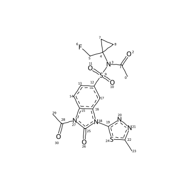 CC(=O)N(C1(CF)CC1)S(=O)(=O)c1ccc2c(c1)n(-c1nnc(C)s1)c(=O)n2C(C)=O